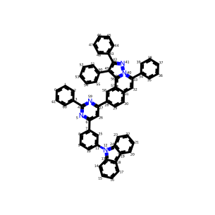 c1ccc(-c2nc(-c3cccc(-n4c5ccccc5c5ccccc54)c3)cc(-c3ccc4cc(-c5ccccc5)n5nc(-c6ccccc6)c(-c6ccccc6)c5c4c3)n2)cc1